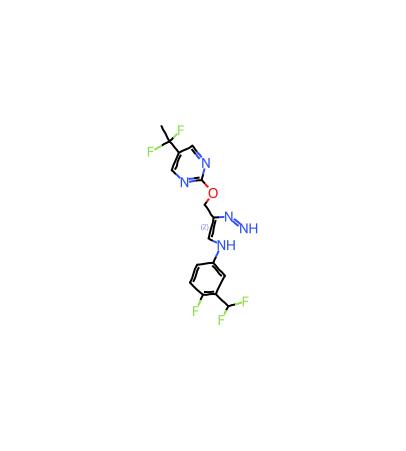 CC(F)(F)c1cnc(OC/C(=C/Nc2ccc(F)c(C(F)F)c2)N=N)nc1